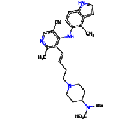 Cc1ncc(C#N)c(Nc2ccc3[nH]ccc3c2C)c1C=CCCN1CCC(N(C(=O)O)C(C)(C)C)CC1